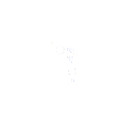 CC1CCCN(c2ccc(NC=C3C(=O)Nc4cc(F)ccc43)cc2)C1